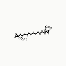 CCOC(=O)C1(CCCCCCCCCCCCC2(COC)CC2)CC1